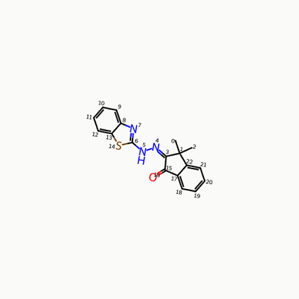 CC1(C)/C(=N/Nc2nc3ccccc3s2)C(=O)c2ccccc21